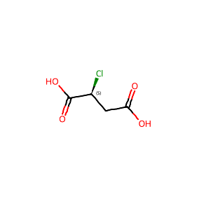 O=C(O)C[C@H](Cl)C(=O)O